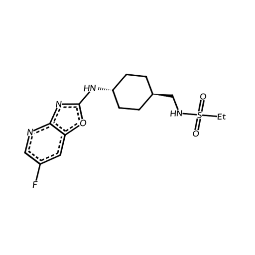 CCS(=O)(=O)NC[C@H]1CC[C@H](Nc2nc3ncc(F)cc3o2)CC1